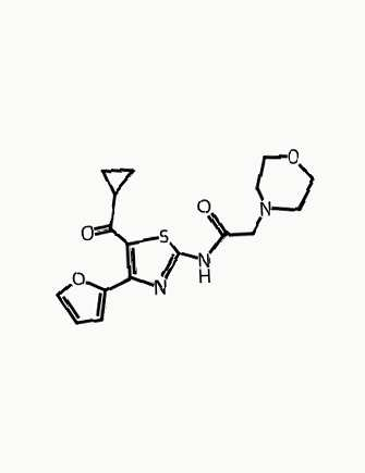 O=C(CN1CCOCC1)Nc1nc(-c2ccco2)c(C(=O)C2CC2)s1